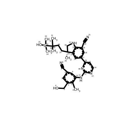 Cc1c(CO)cc(C#N)cc1Nc1nccc(-c2cc(C#N)c3c(c2)[C@@](C)(CCC(C)(C)[Si](C)(C)O)CN3)n1